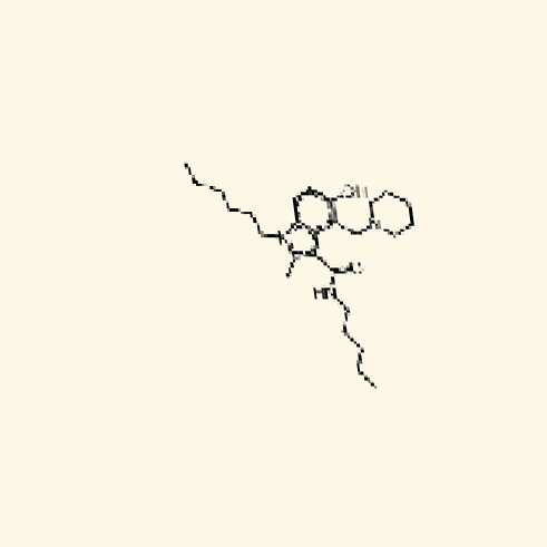 CCCCCCn1c(C)c(C(=O)NCCCCC)c2c(CN3CCCCC3)c(O)ccc21